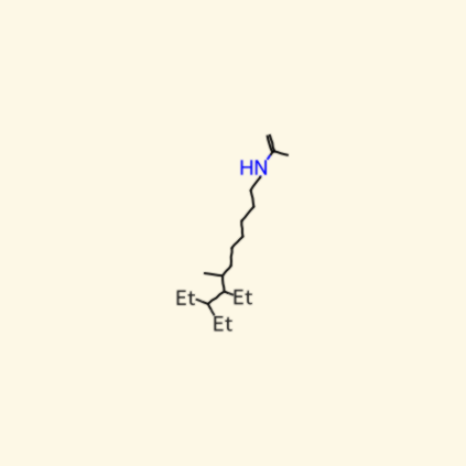 C=C(C)NCCCCCCCC(C)C(CC)C(CC)CC